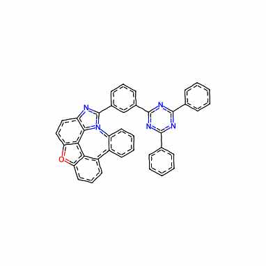 c1ccc(-c2nc(-c3ccccc3)nc(-c3cccc(-c4nc5ccc6oc7cccc8c9ccccc9n4c5c6c78)c3)n2)cc1